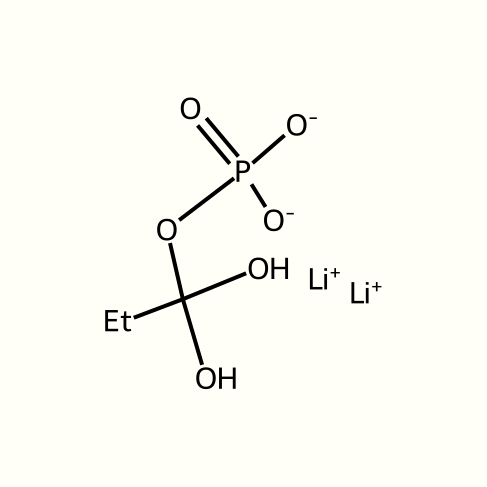 CCC(O)(O)OP(=O)([O-])[O-].[Li+].[Li+]